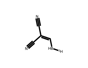 [2H]BC=C(C#N)C#N